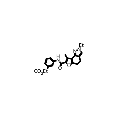 CCOC(=O)c1cccc(NC(=O)c2oc3c(c2C)-c2nn(CC)cc2CC3)c1